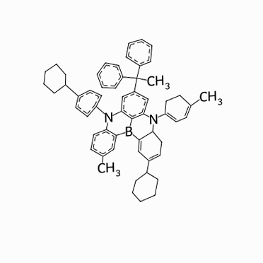 CC1=CC=C(N2c3cc(C(C)(c4ccccc4)c4ccccc4)cc4c3B(C3=CC(C5CCCCC5)=CCC32)c2cc(C)ccc2N4c2ccc(C3CCCCC3)cc2)CC1